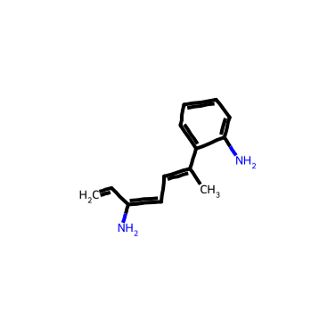 C=C/C(N)=C\C=C(/C)c1ccccc1N